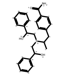 CC(Cc1ccc(C(N)=O)cc1)N(CC(O)c1ccccc1)CC(O)c1ccccc1